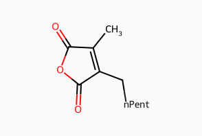 CCCCCCC1=C(C)C(=O)OC1=O